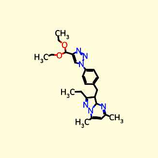 CCOC(OCC)c1cn(-c2ccc(CC3C(CC)=NN4C(C)=CC(C)=NC34)cc2)nn1